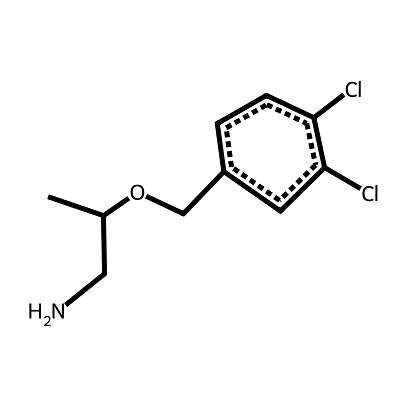 CC(CN)OCc1ccc(Cl)c(Cl)c1